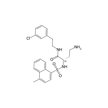 Cc1ccc(S(=O)(=O)N[C@@H](CCN)C(=O)NCCc2cccc(Cl)c2)c2ccccc12